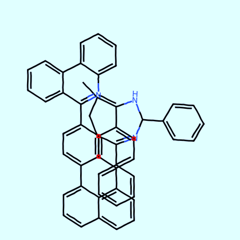 C/C1=C(/c2ccc(-c3cccc4cccc(-c5ccc(-c6nc7ccccc7c7ccccc67)cc5)c34)cc2)NC(c2ccccc2)/N=C(/c2ccccc2)CC1